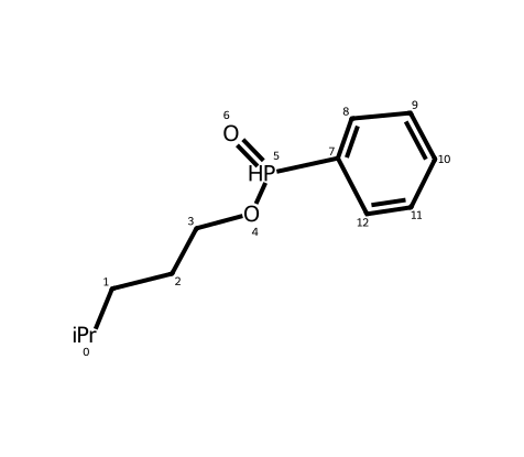 CC(C)CCCO[PH](=O)c1ccccc1